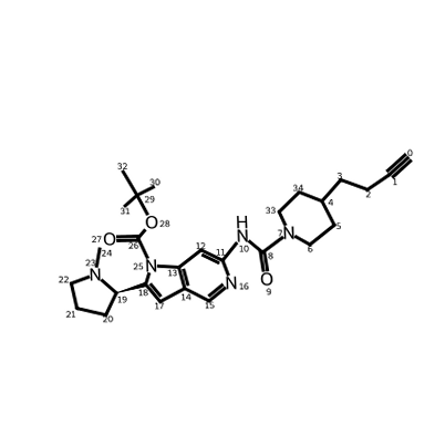 C#CCCC1CCN(C(=O)Nc2cc3c(cn2)cc([C@H]2CCCN2C)n3C(=O)OC(C)(C)C)CC1